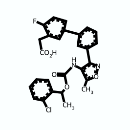 Cc1onc(-c2cccc(-c3ccc(F)c(CC(=O)O)c3)c2)c1NC(=O)OC(C)c1ccccc1Cl